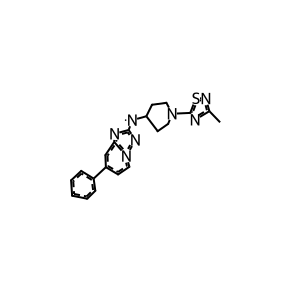 Cc1nsc(N2CCC([N]c3nc4cc(-c5ccccc5)ccn4n3)CC2)n1